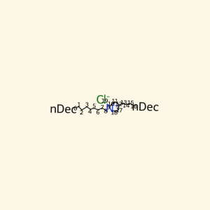 CCCCCCCCCCCCCCCCCC[n+]1ccc(CCCCCCCCCCCCC)cc1.[Cl-]